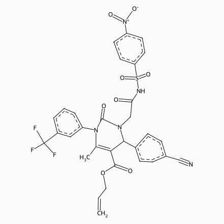 C=CCOC(=O)C1=C(C)N(c2cccc(C(F)(F)F)c2)C(=O)N(CC(=O)NS(=O)(=O)c2ccc([N+](=O)[O-])cc2)C1c1ccc(C#N)cc1